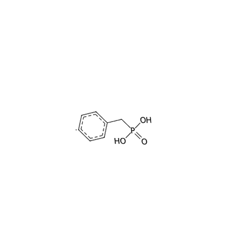 O=P(O)(O)Cc1cc[c]cc1